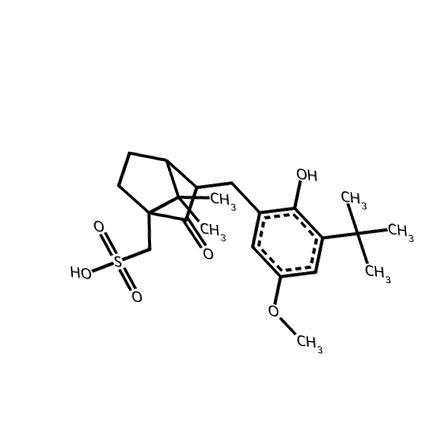 COc1cc(CC2C(=O)C3(CS(=O)(=O)O)CCC2C3(C)C)c(O)c(C(C)(C)C)c1